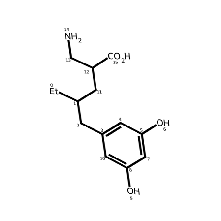 CCC(Cc1cc(O)cc(O)c1)CC(CN)C(=O)O